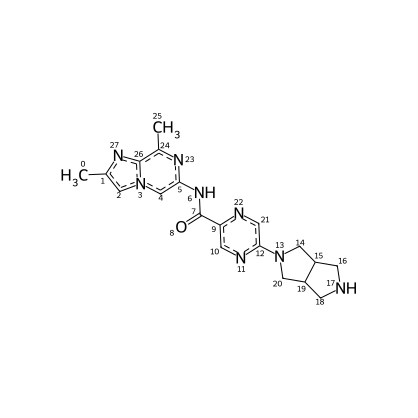 Cc1cn2cc(NC(=O)c3cnc(N4CC5CNCC5C4)cn3)nc(C)c2n1